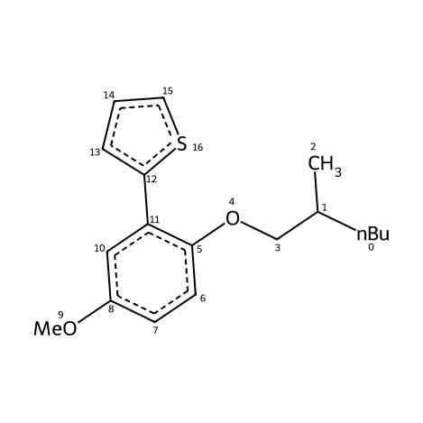 CCCCC(C)COc1ccc(OC)cc1-c1cccs1